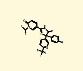 CC1NC(c2ccc(=O)n(C(F)F)c2)=NC1(c1ccc(F)cc1)c1ccc(C(F)(F)F)nc1